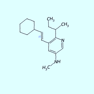 CCC(C)c1ncc(NC)cc1/C=C/C1CCCCC1